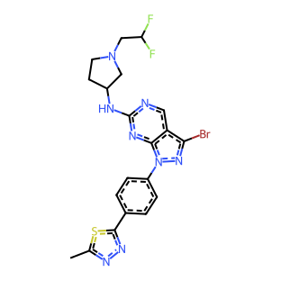 Cc1nnc(-c2ccc(-n3nc(Br)c4cnc(NC5CCN(CC(F)F)C5)nc43)cc2)s1